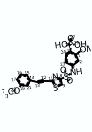 COc1cc(NS(=O)(=O)c2csc(C#Cc3cccc(OC(F)(F)F)c3)n2)ccc1P(=O)(O)O